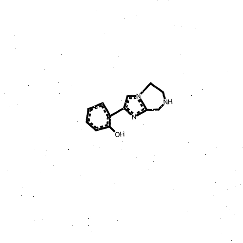 Oc1ccccc1-c1cn2c(n1)CNCC2